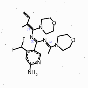 C=C/C(C)=C(/N=C(\N=C(/C)N1CCOCC1)c1cnc(N)cc1C(F)F)N1CCOCC1